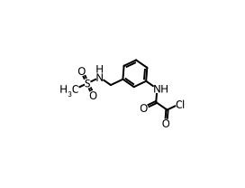 CS(=O)(=O)NCc1cccc(NC(=O)C(=O)Cl)c1